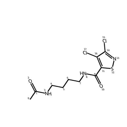 CC(=O)NCCCCNC(=O)c1snc(Cl)c1Cl